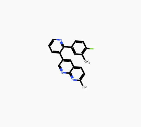 Cc1cc(-c2ncccc2-c2cnc3nc(C#N)ccc3c2)ccc1F